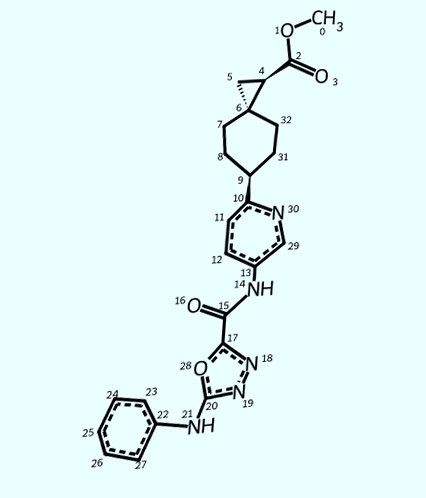 COC(=O)[C@@H]1C[C@]12CC[C@H](c1ccc(NC(=O)c3nnc(Nc4ccccc4)o3)cn1)CC2